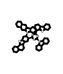 c1ccc2cc3c(cc2c1)c1ccccc1n3-c1cc2oc3c4ccccc4ccc3c2cc1-c1nc(-c2cccc3c2oc2ccccc23)nc(-n2c3ccccc3c3ccccc32)n1